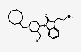 NCCn1c(=O)n(C2CCN(CC3CCCCCCC3)CC2CO)c2ccccc21